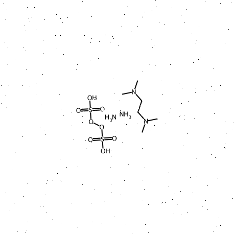 CN(C)CCN(C)C.N.N.O=S(=O)(O)OOS(=O)(=O)O